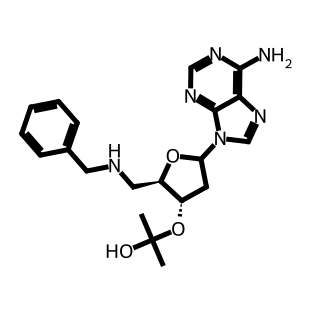 CC(C)(O)O[C@H]1CC(n2cnc3c(N)ncnc32)O[C@@H]1CNCc1ccccc1